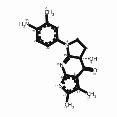 Cc1cc(N2CC[C@@]3(O)C(=O)c4c(sc(C)c4C)N=C23)ccc1N